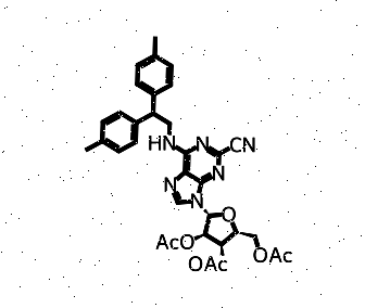 CC(=O)OC[C@@H]1O[C@@H](n2cnc3c(NCC(c4ccc(C)cc4)c4ccc(C)cc4)nc(C#N)nc32)[C@H](OC(C)=O)[C@@H]1OC(C)=O